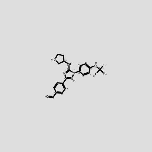 O=Cc1ccc(-c2nc(NC3CCOC3)n(-c3ccc(OC(F)(F)F)cc3)n2)cc1